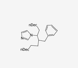 CCCCCCCCCCCCC(Cc1ccccc1)C(CCCCCCCCCCC)n1ccnc1